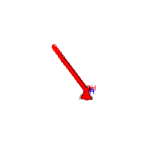 COCCOCCOCCOCCOCCOCCOCCOCCOCCOCCOCCOCCOCCOCCOCCOCCOCCOCCOCCOCCOCCOCCOCCOCCNC(=O)[C@H](CCC(=O)O)NC(=O)c1ccc(C(=O)C(CS(=O)(=O)c2ccc(C)cc2)CS(=O)(=O)c2ccc(C)cc2)cc1